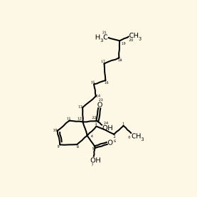 CCCCC1(C(=O)O)CC=CCC1(CCCCCCC(C)C)C(=O)O